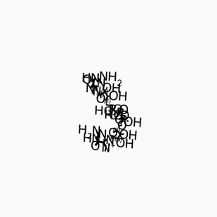 C[n+]1cn([C@@H]2O[C@H](COP(=O)(O)OP(=O)(O)OP(=O)(O)CC[C@H]3O[C@@H](n4cnc5c(=O)[nH]c(N)nc54)[C@@H](O)C3O)C(O)[C@@H]2O)c2nc(N)[nH]c(=O)c21